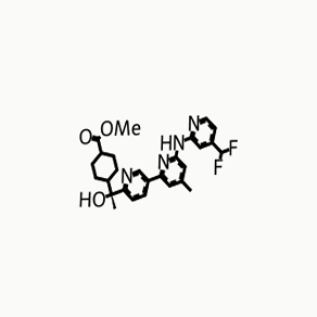 COC(=O)C1CCC([C@@](C)(O)c2ccc(-c3cc(C)cc(Nc4cc(C(F)F)ccn4)n3)cn2)CC1